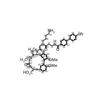 CCCc1ccc(-c2ccc(C(=O)NCCC(=O)N(CCCCN)CC(=O)N(C)[C@@H]3C(=O)N[C@@H](C)C(=O)N[C@H](C(=O)O)Cc4ccc(OC)c(c4)-c4cc3ccc4OC)cc2)cc1